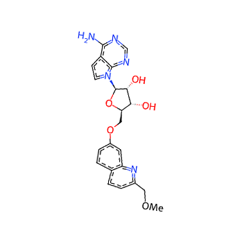 COCc1ccc2ccc(OC[C@H]3O[C@@H](n4ccc5c(N)ncnc54)[C@H](O)[C@@H]3O)cc2n1